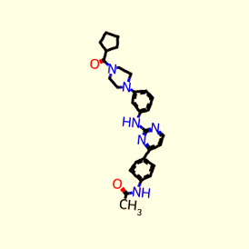 CC(=O)Nc1ccc(-c2ccnc(Nc3cccc(N4CCN(C(=O)C5CCCC5)CC4)c3)n2)cc1